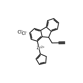 C#CCC1c2ccccc2-c2ccc[c]([Zr+2][C]3=CC=CC3)c21.[Cl-].[Cl-]